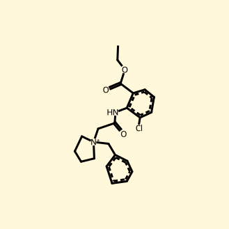 CCOC(=O)c1cccc(Cl)c1NC(=O)C[N+]1(Cc2ccccc2)CCCC1